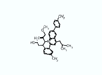 C=C(COC)C1C(CCO)c2ccc(C)cc2-c2cc(CC(C)C)c3cc(-c4ccc(C)cc4)ccc3[n+]21